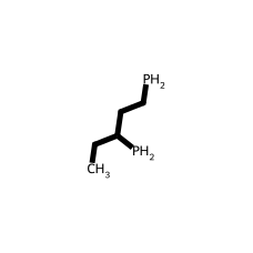 CCC(P)CCP